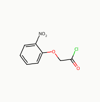 O=C(Cl)COc1ccccc1[N+](=O)[O-]